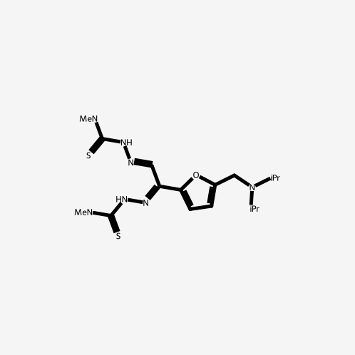 CNC(=S)N/N=C/C(=N\NC(=S)NC)c1ccc(CN(C(C)C)C(C)C)o1